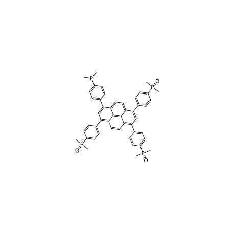 CP(C)c1ccc(-c2cc(-c3ccc(P(C)(C)=O)cc3)c3ccc4c(-c5ccc(P(C)(C)=O)cc5)cc(-c5ccc(P(C)(C)=O)cc5)c5ccc2c3c54)cc1